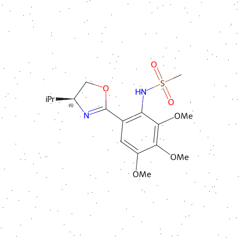 COc1cc(C2=N[C@@H](C(C)C)CO2)c(NS(C)(=O)=O)c(OC)c1OC